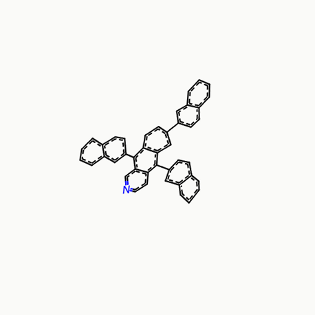 c1ccc2cc(-c3ccc4c(-c5ccc6ccccc6c5)c5cnccc5c(-c5ccc6ccccc6c5)c4c3)ccc2c1